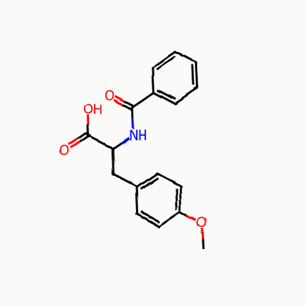 COc1ccc(CC(NC(=O)c2ccccc2)C(=O)O)cc1